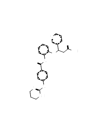 O=C(O)CC(Oc1ccccc1NC(=O)c1ccc(NC2=NCCCN2)cc1)c1cccnc1